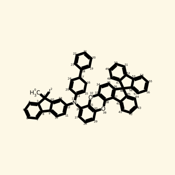 CC1(I)c2ccccc2-c2ccc(N(C3=CCC(c4ccccc4)C=C3)c3cccc4c3Oc3ccc5c(c3O4)-c3ccccc3C53c4ccccc4-c4ccccc43)cc21